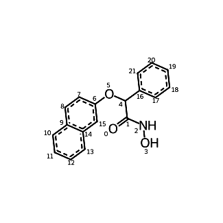 O=C(NO)C(Oc1ccc2ccccc2c1)c1ccccc1